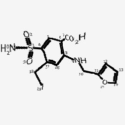 NS(=O)(=O)c1cc(C(=O)O)c(NCc2ccco2)cc1CI